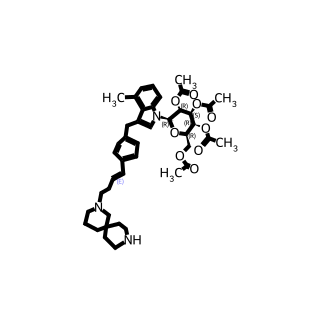 CC(=O)OC[C@H]1O[C@@H](n2cc(Cc3ccc(/C=C/CCN4CCCC5(CCNCC5)C4)cc3)c3c(C)cccc32)[C@H](OC(C)=O)[C@@H](OC(C)=O)[C@@H]1OC(C)=O